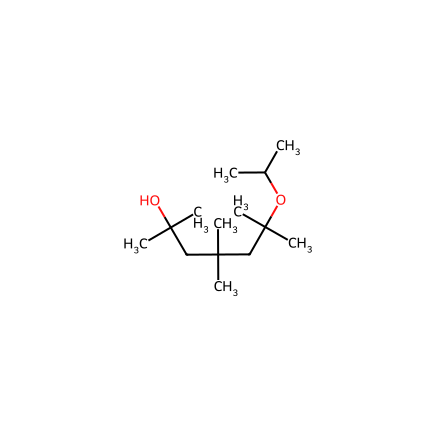 CC(C)OC(C)(C)CC(C)(C)CC(C)(C)O